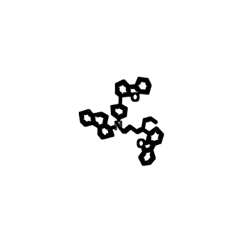 C\C=C/C(=C\C=C\N(c1ccc(-c2cccc3c2oc2ccccc23)cc1)c1cccc2c1ccc1ccccc12)c1cccc2c1oc1ccccc12